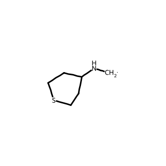 [CH2]NC1CCSCC1